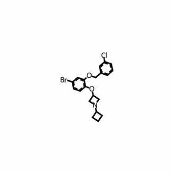 Clc1cccc(COc2cc(Br)ccc2OC2CN(C3CCC3)C2)c1